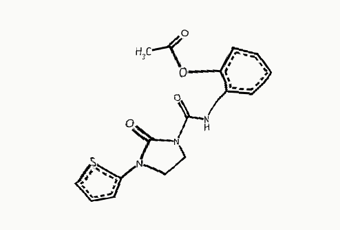 CC(=O)Oc1ccccc1NC(=O)N1CCN(c2cccs2)C1=O